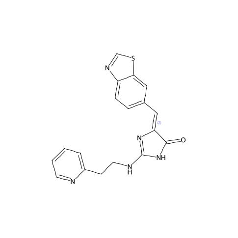 O=C1NC(NCCc2ccccn2)=N/C1=C\c1ccc2ncsc2c1